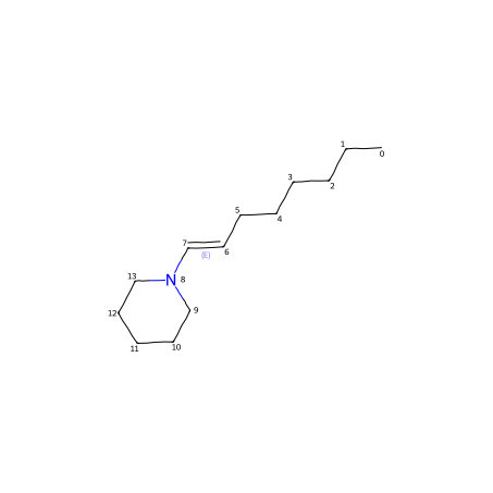 CCCCCC/C=C/N1CCCCC1